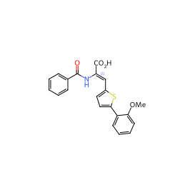 COc1ccccc1-c1ccc(/C=C(\NC(=O)c2ccccc2)C(=O)O)s1